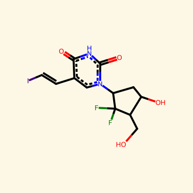 O=c1[nH]c(=O)n(C2CC(O)C(CO)C2(F)F)cc1/C=C/I